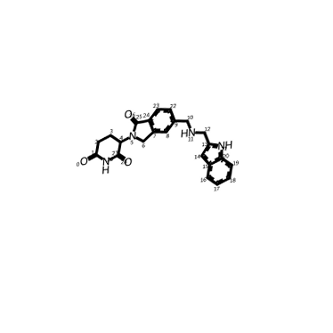 O=C1CCC(N2Cc3cc(CNCc4cc5ccccc5[nH]4)ccc3C2=O)C(=O)N1